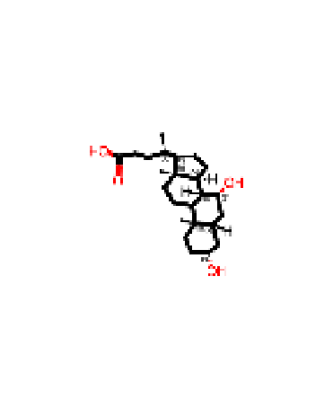 C[C@H](CCC(=O)O)[C@H]1CC[C@H]2[C@H]3C(CC[C@]12C)[C@@]1(C)CC[C@@H](O)C[C@H]1C[C@@H]3O